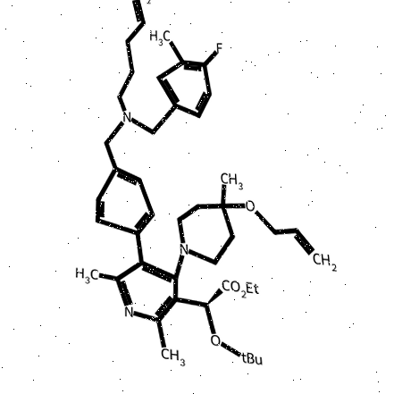 C=CCCCN(Cc1ccc(-c2c(C)nc(C)c([C@H](OC(C)(C)C)C(=O)OCC)c2N2CCC(C)(OCC=C)CC2)cc1)Cc1ccc(F)c(C)c1